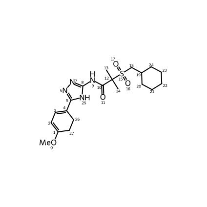 COC1=CC=C(c2nnc(NC(=O)C(C)(C)S(=O)(=O)CC3CCCCC3)[nH]2)CC1